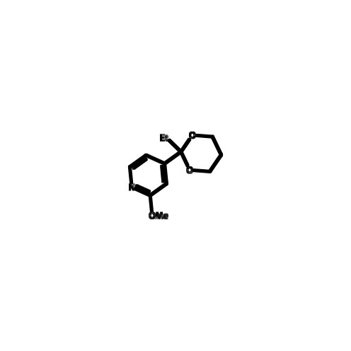 CCC1(c2ccnc(OC)c2)OCCCO1